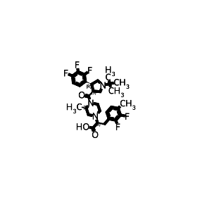 Cc1ccc(C[C@@H](C(=O)O)N2CCN(C(=O)[C@@H]3CN(C(C)(C)C)C[C@H]3c3ccc(F)c(F)c3F)[C@@H](C)C2)c(F)c1F